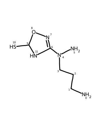 NCCCN(N)C1=NOC(S)N1